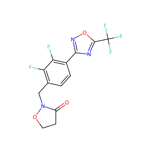 O=C1CCON1Cc1ccc(-c2noc(C(F)(F)F)n2)c(F)c1F